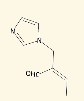 C/C=C(\C=O)Cn1ccnc1